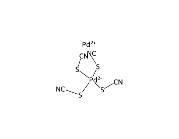 N#C[S][Pd-2]([S]C#N)([S]C#N)[S]C#N.[Pd+2]